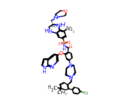 CC1(C)CCC(CN2CCN(c3ccc(C(=O)NS(=O)(=O)c4cc5c(c([N+](=O)[O-])c4)N[C@@H](CN4CCOCC4)CN5)c(Oc4cnc5[nH]ccc5c4)c3)CC2)=C(c2ccc(Cl)cc2)C1